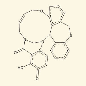 O=C1c2c(O)c(=O)ccn2N2CN1C/C=C\COc1cccc3c1C2c1ccccc1SC3